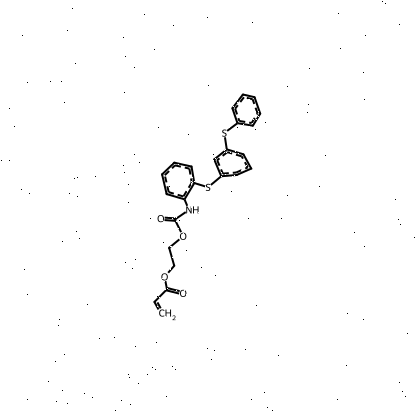 C=CC(=O)OCCOC(=O)Nc1ccccc1Sc1cccc(Sc2ccccc2)c1